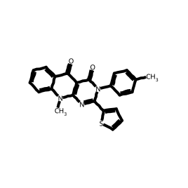 Cc1ccc(-n2c(-c3cccs3)nc3c(c(=O)c4ccccc4n3C)c2=O)cc1